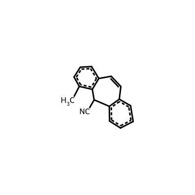 Cc1cccc2c1C(C#N)c1ccccc1C=C2